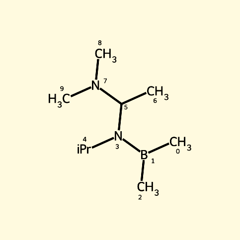 CB(C)N(C(C)C)C(C)N(C)C